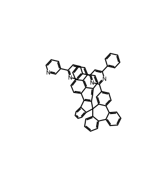 c1ccc(-c2cc(-c3ccc(-c4cccnc4)nc3)nc(-c3ccc4c(c3)C3(c5ccccc5-c5ccccc5-4)c4ccccc4-c4c3cc3ccc5cccc6ccc4c3c56)n2)cc1